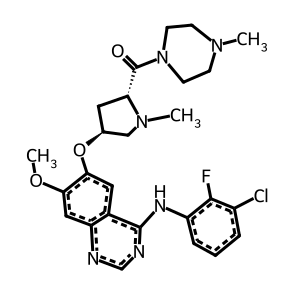 COc1cc2ncnc(Nc3cccc(Cl)c3F)c2cc1O[C@H]1C[C@H](C(=O)N2CCN(C)CC2)N(C)C1